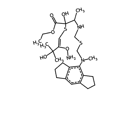 CCOC(=O)C(O)(S/C=C(\ON)C(C)(C)O)C(C)NCSCN(C)c1c2c(cc3c1CCC3)CCC2